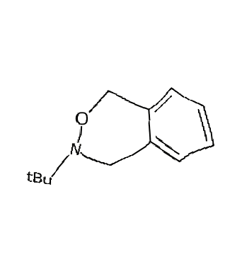 CC(C)(C)N1Cc2ccccc2CO1